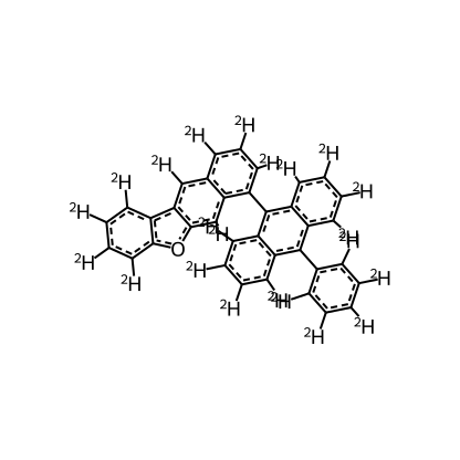 [2H]c1c([2H])c([2H])c(-c2c3c([2H])c([2H])c([2H])c([2H])c3c(-c3c([2H])c([2H])c([2H])c4c([2H])c5c(oc6c([2H])c([2H])c([2H])c([2H])c65)c([2H])c34)c3c([2H])c([2H])c([2H])c([2H])c23)c([2H])c1[2H]